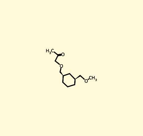 COC[C@H]1CCC[C@@H](COCC(C)=O)C1